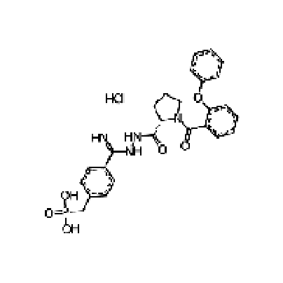 Cl.N=C(NNC(=O)[C@@H]1CCCN1C(=O)c1ccccc1Oc1ccccc1)c1ccc(CP(=O)(O)O)cc1